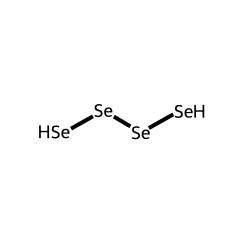 [SeH][Se][Se][SeH]